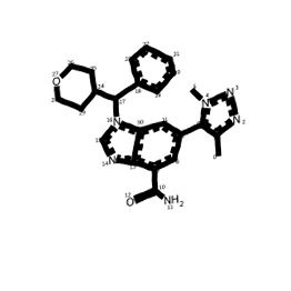 Cc1nnn(C)c1-c1cc(C(N)=O)c2ncn(C(c3ccccc3)C3CCOCC3)c2c1